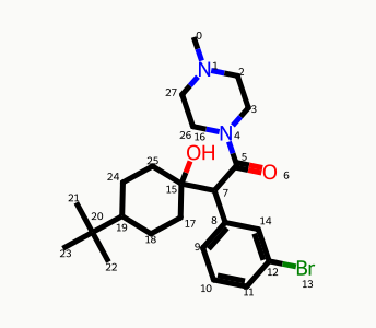 CN1CCN(C(=O)C(c2cccc(Br)c2)C2(O)CCC(C(C)(C)C)CC2)CC1